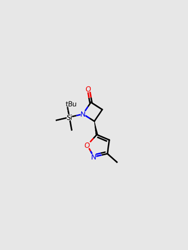 Cc1cc([C@@H]2CC(=O)N2[Si](C)(C)C(C)(C)C)on1